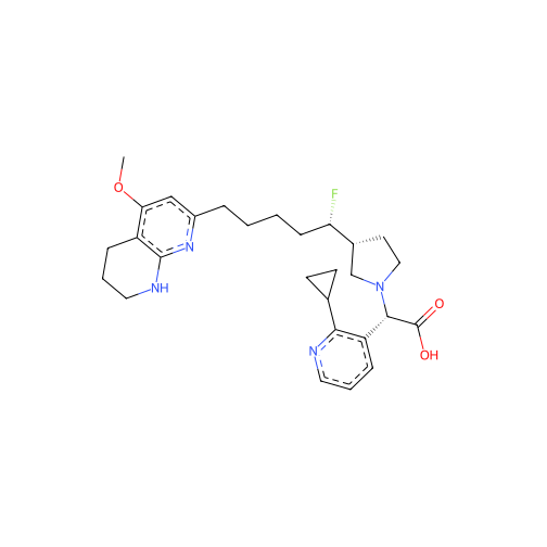 COc1cc(CCCC[C@H](F)[C@@H]2CCN([C@H](C(=O)O)c3cccnc3C3CC3)C2)nc2c1CCCN2